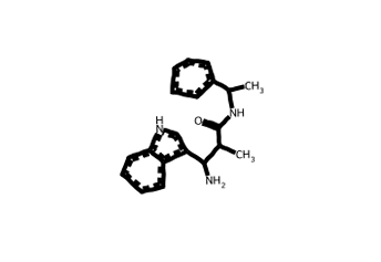 CC(NC(=O)C(C)C(N)c1c[nH]c2ccccc12)c1ccccc1